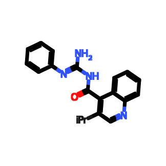 CC(C)c1cnc2ccccc2c1C(=O)NC(N)=Nc1ccccc1